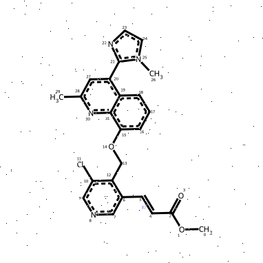 COC(=O)/C=C/c1cncc(Cl)c1COc1cccc2c(-c3nccn3C)cc(C)nc12